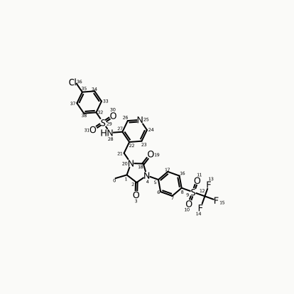 CC1C(=O)N(c2ccc(S(=O)(=O)C(F)(F)F)cc2)C(=O)N1Cc1ccncc1NS(=O)(=O)c1ccc(Cl)cc1